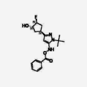 CC(C)(C)n1nc([C@H]2C[C@H](O)[C@@H](F)C2)cc1NOC(=O)c1ccccc1